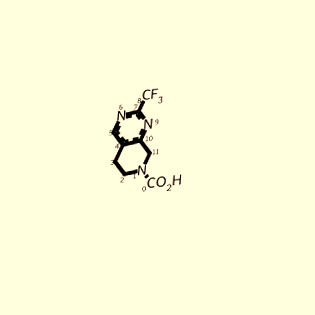 O=C(O)N1CCc2cnc(C(F)(F)F)nc2C1